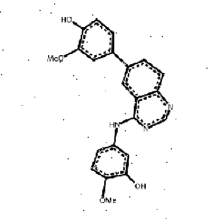 COc1ccc(Nc2ncnc3ccc(-c4ccc(O)c(OC)c4)cc23)cc1O